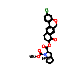 CC(C)(C)OC(=O)N1C(C(=O)OC2CCc3cc4c(cc3C2=O)COc2cc(Cl)ccc2-4)CC2CCC[C@@H]21